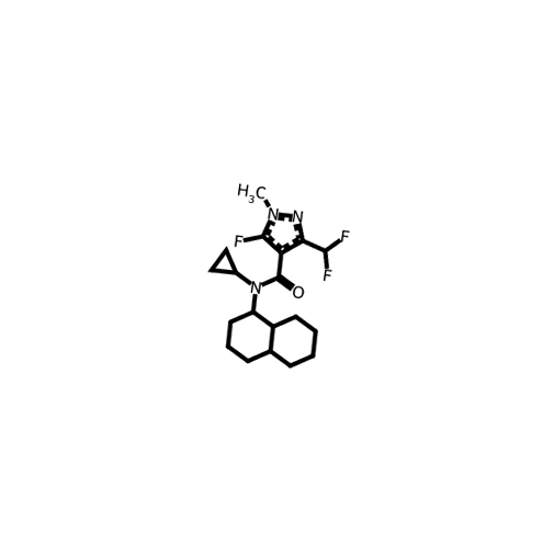 Cn1nc(C(F)F)c(C(=O)N(C2CC2)C2CCCC3CCCCC32)c1F